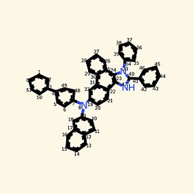 c1ccc(-c2ccc(N(c3ccc4ccccc4c3)c3ccc4c5c(c6ccccc6c4c3)N(c3ccccc3)C(c3ccccc3)N5)cc2)cc1